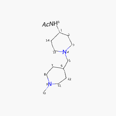 CC(=O)NC1CCN(CC2CCN(C)CC2)CC1